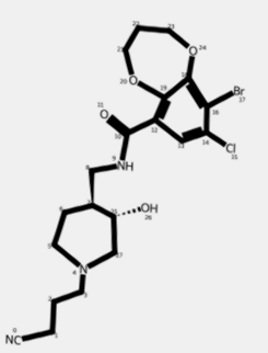 N#CCCCN1CC[C@@H](CNC(=O)c2cc(Cl)c(Br)c3c2OCCCO3)[C@H](O)C1